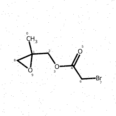 CC1(COC(=O)CBr)CO1